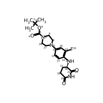 CC(C)(C)OC(=O)N1CCN(c2ccc(N[C@@H]3CCC(=O)NC3=O)c(F)c2)CC1